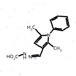 Cc1cc(/C=N\NC(=O)O)c(C)n1-c1ccccc1